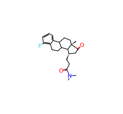 CN(C)C(=O)CC[C@@H]1CC(=O)[C@@]2(C)CCC3c4cccc(F)c4CCC3C12